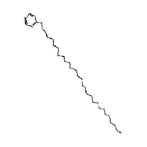 CCCCCCCCCCCCCCCCCCCCCCCCCCCC[CH]c1ncncn1